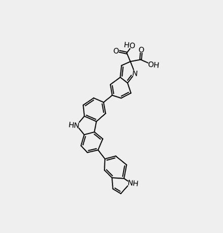 O=C(O)C1(C(=O)O)C=c2cc(-c3ccc4[nH]c5ccc(-c6ccc7[nH]ccc7c6)cc5c4c3)ccc2=N1